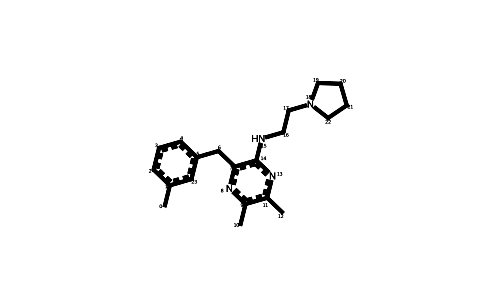 Cc1cccc(Cc2nc(C)c(C)nc2NCCN2CCCC2)c1